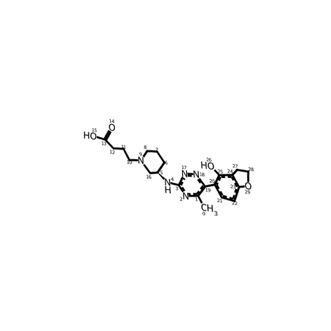 Cc1nc(N[C@@H]2CCCN(CCCC(=O)O)C2)nnc1-c1ccc2c(c1O)CCO2